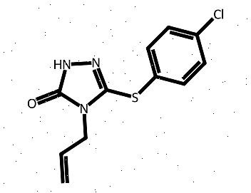 C=CCn1c(Sc2ccc(Cl)cc2)n[nH]c1=O